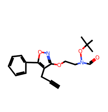 C#CCc1c(OCCN(C=O)OC(C)(C)C)noc1-c1ccccc1